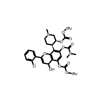 CN1CC[C@H](c2c(OC(=O)N(C)C)cc(OC(=O)OC(C)(C)C)c3c2OC(c2ccccc2Cl)=CC3O)[C@H](OC(=O)OC(C)(C)C)C1